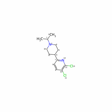 CC(C)N1CCC(c2ccc(Cl)c(Cl)n2)CC1